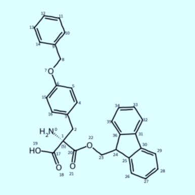 N[C@@](Cc1ccc(OCc2ccccc2)cc1)(C(=O)O)C(=O)OCC1c2ccccc2-c2ccccc21